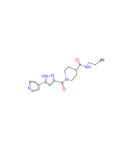 CC(C)CCNC(=O)C1CCN(C(=O)c2cc(-c3ccncc3)[nH]n2)CC1